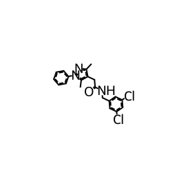 Cc1nn(-c2ccccc2)c(C)c1CC(=O)NCc1cc(Cl)cc(Cl)c1